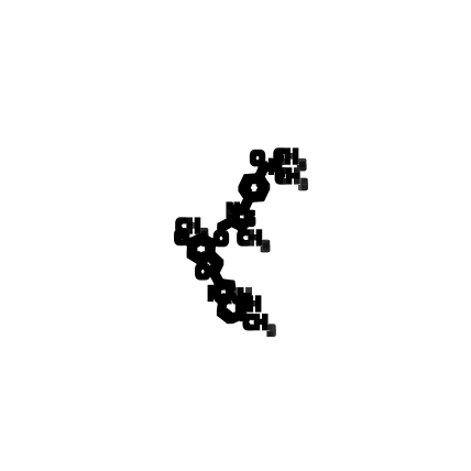 COc1cc(OCc2nc(-c3ccc(C(=O)N(C)C)cc3)sc2C)c2cc(-c3c[nH]c(/C=C\C(C)=N)n3)oc2c1